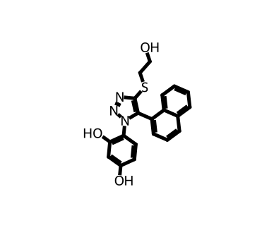 OCCSc1nnn(-c2ccc(O)cc2O)c1-c1cccc2ccccc12